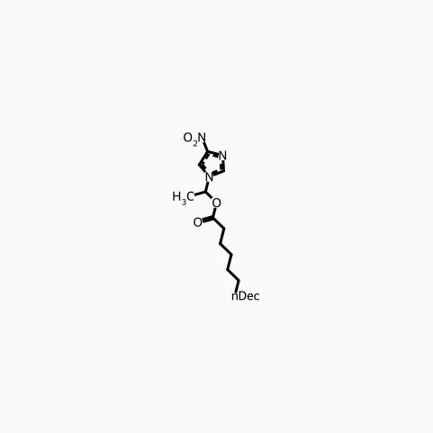 CCCCCCCCCCCCCCCC(=O)OC(C)n1cnc([N+](=O)[O-])c1